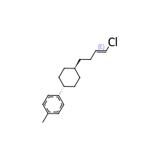 Cc1ccc([C@H]2CC[C@H](CC/C=C/Cl)CC2)cc1